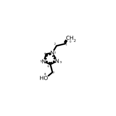 C=CCn1cnc(CO)n1